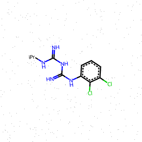 CC(C)NC(=N)NC(=N)Nc1cccc(Cl)c1Cl